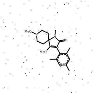 COC1=C(c2c(C)cc(C)cc2C)C(=O)N(C)C12CCN(OC)CC2